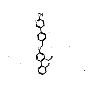 N#Cc1ccc(-c2ccc(COc3ccc(-c4ccccc4F)c(CF)c3)cc2)cn1